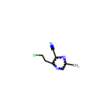 Cc1cnc(CCCl)c(C#N)n1